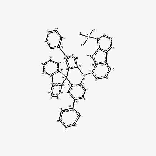 C[Si](C)(C)c1cccc2c1oc1c(N3c4ccc(-c5ccccc5)cc4C4(c5ccccc5-c5ccccc54)c4cc(-c5ccccc5)ccc43)cccc12